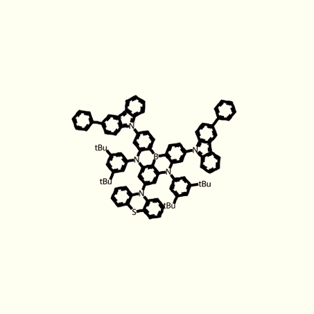 CC(C)(C)c1cc(N2c3cc(-n4c5ccccc5c5cc(-c6ccccc6)ccc54)ccc3B3c4ccc(-n5c6ccccc6c6cc(-c7ccccc7)ccc65)cc4N(c4cc(C(C)(C)C)cc(C(C)(C)C)c4)c4cc(N5c6ccccc6Sc6ccccc65)cc2c43)cc(C(C)(C)C)c1